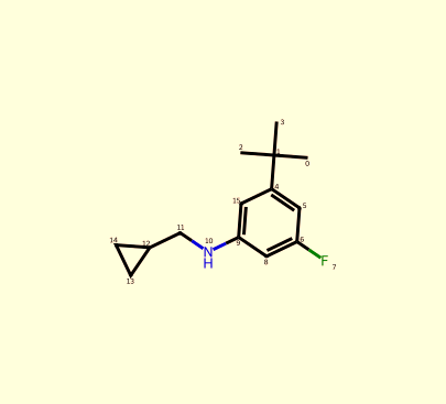 CC(C)(C)c1cc(F)cc(NCC2CC2)c1